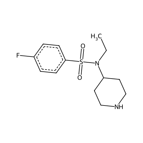 CCN(C1CCNCC1)S(=O)(=O)c1ccc(F)cc1